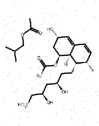 CC(=O)OCC(C)C.CC[C@H](C)C(=O)O[C@H]1C[C@H](O)C=C2C=C[C@H](C)[C@H](CC[C@@H](O)C[C@@H](O)CC(=O)O)[C@H]21